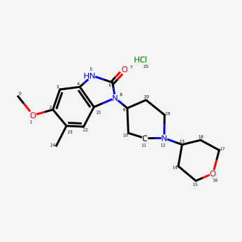 COc1cc2[nH]c(=O)n(C3CCN(C4CCOCC4)CC3)c2cc1C.Cl